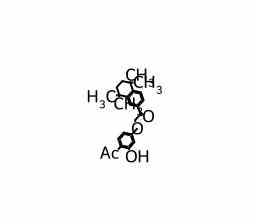 CC(=O)c1ccc(OCC(=O)c2ccc3c(c2)C(C)(C)CCC3(C)C)cc1O